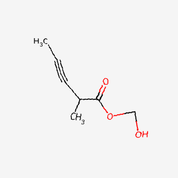 CC#CC(C)C(=O)OCO